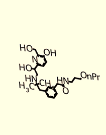 CCCOCCCNC(=O)Cc1cccc(CC(C)(C)NCC(O)c2ccc(O)c(CO)n2)c1